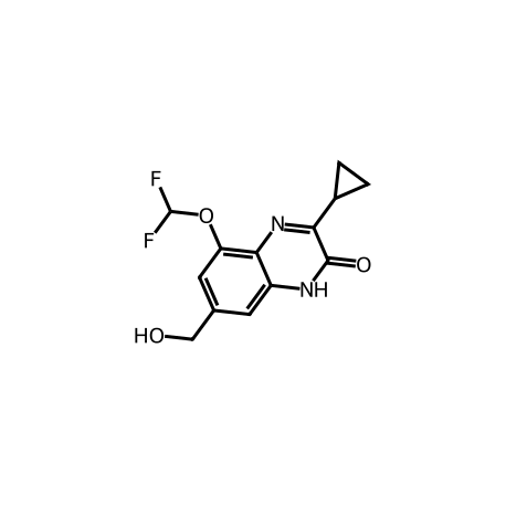 O=c1[nH]c2cc(CO)cc(OC(F)F)c2nc1C1CC1